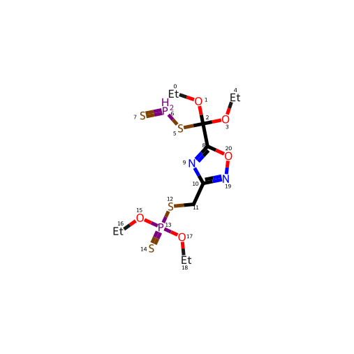 CCOC(OCC)(S[PH2]=S)c1nc(CSP(=S)(OCC)OCC)no1